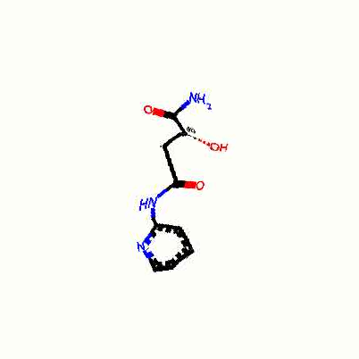 NC(=O)[C@H](O)[CH]C(=O)Nc1ccccn1